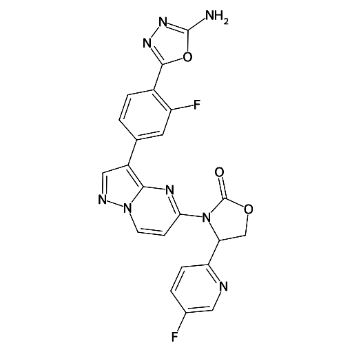 Nc1nnc(-c2ccc(-c3cnn4ccc(N5C(=O)OCC5c5ccc(F)cn5)nc34)cc2F)o1